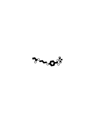 C=CC(=O)OCCCCOc1ccc(C(=O)OS(C)(=O)=O)cc1